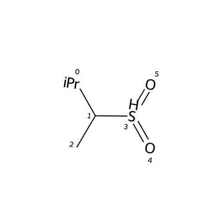 CC(C)C(C)[SH](=O)=O